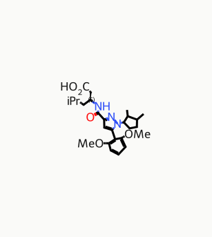 COc1cccc(OC)c1-c1cc(C(=O)N[C@H](CC(=O)O)CC(C)C)nn1C1CCC(C)C1C